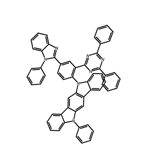 c1ccc(-c2nc(-c3ccccc3)nc(-c3cc(-c4nc5ccccc5n4-c4ccccc4)ccc3-n3c4ccccc4c4cc5c(cc43)c3ccccc3n5-c3ccccc3)n2)cc1